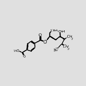 CC(O)C(C)C(O)CC(CO)OC(=O)c1ccc(C(=O)O)cc1